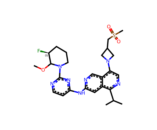 COC1[C@@H](F)CCCN1c1nccc(Nc2cc3c(C(C)C)ncc(N4CC(CS(C)(=O)=O)C4)c3cn2)n1